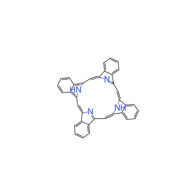 c1ccc2c(c1)-c1cc3[nH]c(cc4nc(cc5[nH]c(cc-2n1)c1ccccc51)-c1ccccc1-4)c1ccccc31